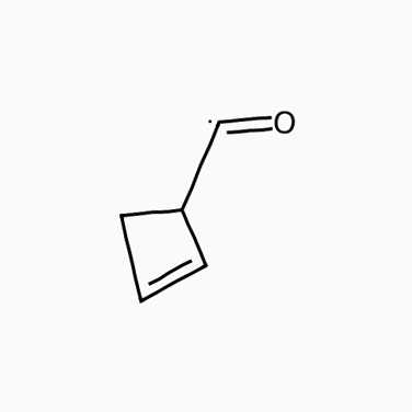 O=[C]C1C=CC1